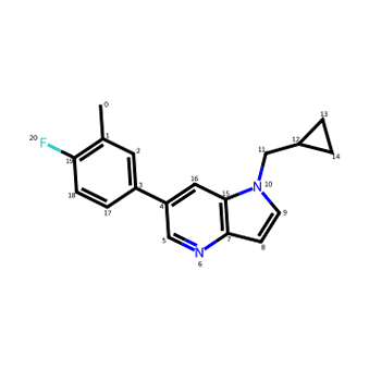 Cc1cc(-c2cnc3ccn(CC4CC4)c3c2)ccc1F